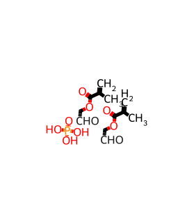 C=C(C)C(=O)OCC=O.C=C(C)C(=O)OCC=O.O=P(O)(O)O